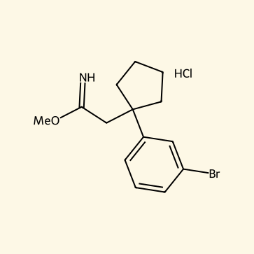 COC(=N)CC1(c2cccc(Br)c2)CCCC1.Cl